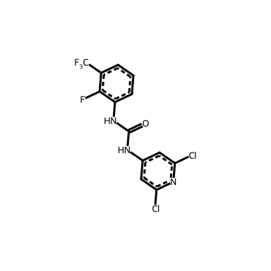 O=C(Nc1cc(Cl)nc(Cl)c1)Nc1cccc(C(F)(F)F)c1F